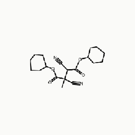 CC(C#N)(C(=O)OC1CCCCC1)C(C#N)C(=O)OC1CCCCC1